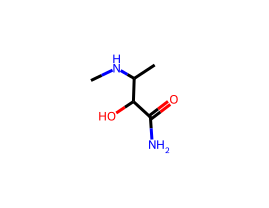 CNC(C)C(O)C(N)=O